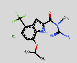 CC(C)Oc1ccc(C(F)(F)F)c2cc(C(=O)N(C)C(=N)N)[nH]c12.Cl